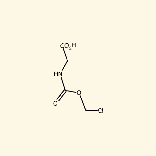 O=C(O)CNC(=O)OCCl